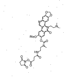 COc1cc2c(cc1OC(=O)N(C)CCNC(=O)CCC(=O)ON1C(=O)CCC1=O)c(=O)n(CCN(C)C)c1c3cc4c(cc3ncc21)OCO4